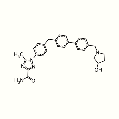 Cc1nc(C(N)=O)nn1-c1ccc(Cc2ccc(-c3ccc(CN4CCC(O)C4)cc3)cc2)cc1